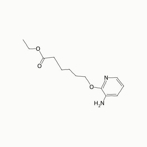 CCOC(=O)CCCCCOc1ncccc1N